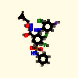 O=C(NOCC1CC1)c1cc(S(=O)(=O)Nc2ccccc2)c(F)c(F)c1Nc1ccc(I)cc1Cl